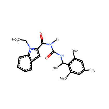 CCCCC(NC(=O)N(CC)C(=O)c1cc2ccccc2n1CC(=O)O)c1c(OC)cc(C)cc1OC